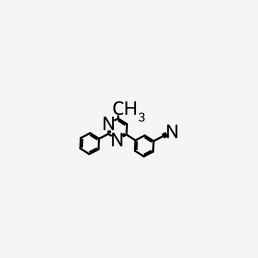 Cc1cc(-c2cccc(C#N)c2)nc(-c2ccccc2)n1